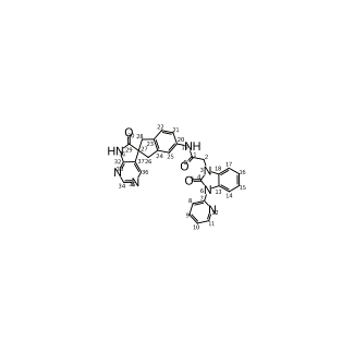 O=C(Cn1c(=O)n(-c2ccccn2)c2ccccc21)Nc1ccc2c(c1)CC1(C2)C(=O)Nc2ncncc21